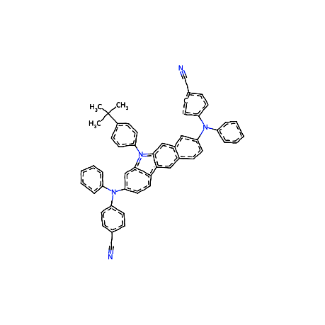 CC(C)(C)c1ccc(-n2c3cc(N(c4ccccc4)c4ccc(C#N)cc4)ccc3c3cc4ccc(N(c5ccccc5)c5ccc(C#N)cc5)cc4cc32)cc1